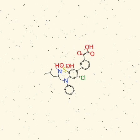 CC(C)CC1CN(c2ccccc2)c2cc(Cl)c(-c3cccc(C(=O)C(=O)O)c3)cc2S(O)(O)N1C